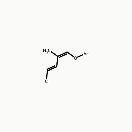 CC(=O)OC=C(C)C=CCl